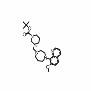 COc1ccc2cccnc2c1N1CCCN(C[C@@H]2CCCN(C(=O)OC(C)(C)C)C2)CC1